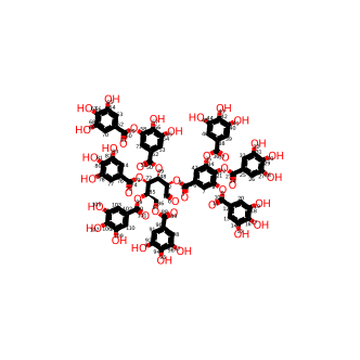 O=C[C@H](OC(=O)c1cc(OC(=O)c2cc(O)c(O)c(O)c2)c(OC(=O)c2cc(O)c(O)c(O)c2)c(OC(=O)c2cc(O)c(O)c(O)c2)c1)[C@@H](OC(=O)c1cc(O)c(O)c(OC(=O)c2cc(O)c(O)c(O)c2)c1)[C@H](OC(=O)c1cc(O)c(O)c(O)c1)[C@@H](COC(=O)c1cc(O)c(O)c(O)c1)OC(=O)c1cc(O)c(O)c(O)c1